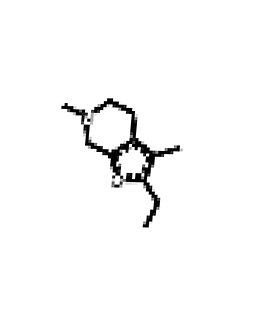 CCc1oc2c(c1C)CCN(C)C2